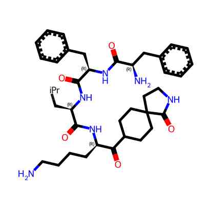 CC(C)C[C@@H](NC(=O)[C@@H](Cc1ccccc1)NC(=O)[C@H](N)Cc1ccccc1)C(=O)N[C@H](CCCCN)C(=O)C1CCC2(CCNC2=O)CC1